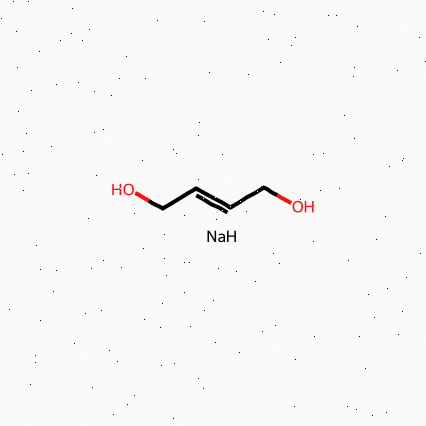 OCC=CCO.[NaH]